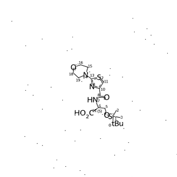 CC(C)(C)[Si](C)(C)OC[C@H](NC(=O)c1csc(N2CCOCC2)n1)C(=O)O